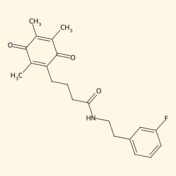 CC1=C(C)C(=O)C(CCCC(=O)NCCc2cccc(F)c2)=C(C)C1=O